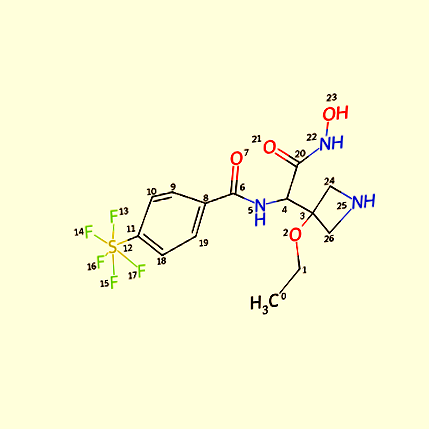 CCOC1(C(NC(=O)c2ccc(S(F)(F)(F)(F)F)cc2)C(=O)NO)CNC1